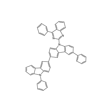 c1ccc(-c2ccc3c(c2)c2cc(-c4ccc5c(c4)c4ccccc4n5-c4ccccc4)ccc2n3-c2nc(-c3ccccc3)c3ccccc3n2)cc1